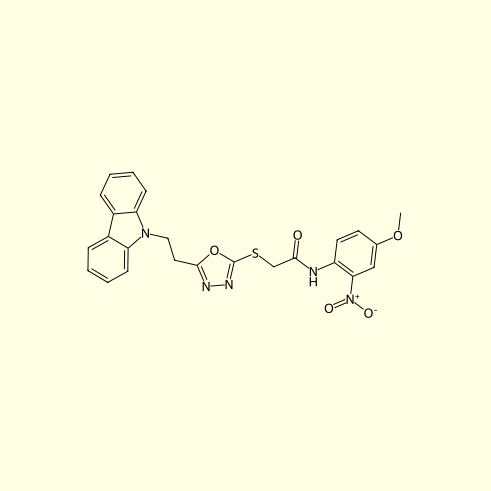 COc1ccc(NC(=O)CSc2nnc(CCn3c4ccccc4c4ccccc43)o2)c([N+](=O)[O-])c1